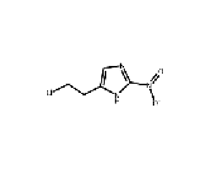 O=[N+]([O-])c1ncc(CCCl)[nH]1